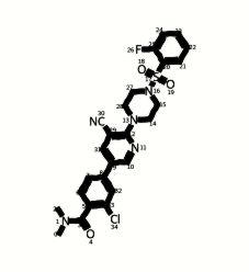 CN(C)C(=O)c1ccc(-c2cnc(N3CCN(S(=O)(=O)c4ccccc4F)CC3)c(C#N)c2)cc1Cl